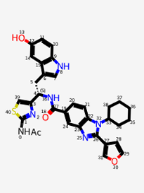 CC(=O)Nc1nc([C@H](Cc2c[nH]c3ccc(O)cc23)NC(=O)c2ccc3c(c2)nc(-c2ccoc2)n3C2CCCCC2)cs1